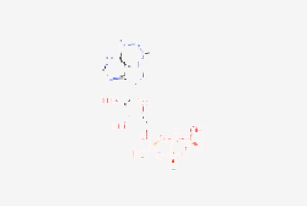 CC1=NN(C)c2ncnc3c2N1CN3C1OC(COP(=O)(O)OP(=O)(O)OP(=O)(O)O)C(O)C1O